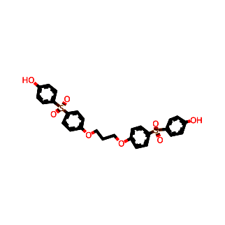 O=S(=O)(c1ccc(O)cc1)c1ccc(OCCCOc2ccc(S(=O)(=O)c3ccc(O)cc3)cc2)cc1